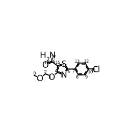 COCOc1nc(-c2ccc(Cl)cc2)sc1C(N)=O